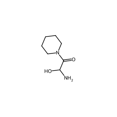 NC(O)C(=O)N1CCCCC1